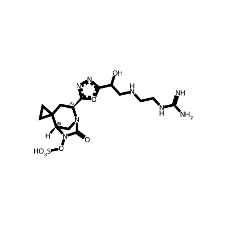 N=C(N)NCCNCC(O)c1nnc([C@@H]2CC3(CC3)[C@@H]3CN2C(=O)N3OS(=O)(=O)O)o1